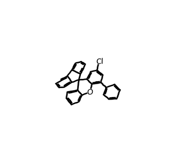 Clc1cc(-c2ccccc2)c2c(c1)C1(c3ccccc3O2)c2ccccc2-c2ccccc21